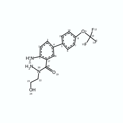 Nc1ccc(-c2ccc(OC(F)(F)F)cc2)cc1C(=O)N(N)CCO